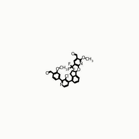 COc1cc(-c2nccc(-c3cccc4c3CCC4Oc3nc(OC)c(C=O)cc3C(F)(F)F)c2Cl)ccc1C=O